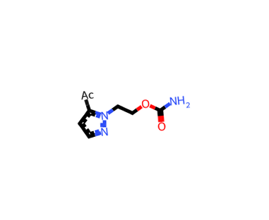 CC(=O)c1ccnn1CCOC(N)=O